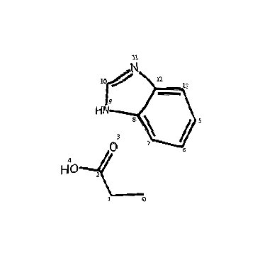 CCC(=O)O.c1ccc2[nH]cnc2c1